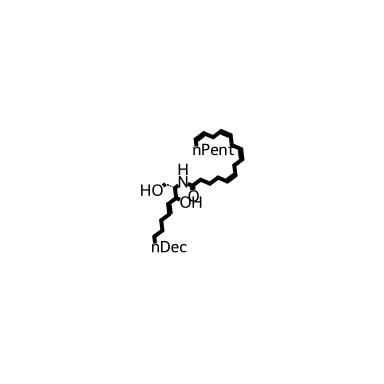 CCCCC/C=C\C/C=C\C/C=C\C/C=C\CCCC(=O)N[C@@H](CO)C(O)/C=C/CCCCCCCCCCCCC